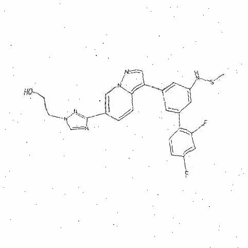 CSNc1cc(-c2ccc(F)cc2F)cc(-c2cnn3cc(-c4ncn(CCO)n4)ccc23)c1